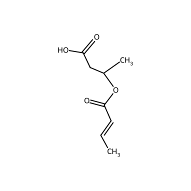 CC=CC(=O)OC(C)CC(=O)O